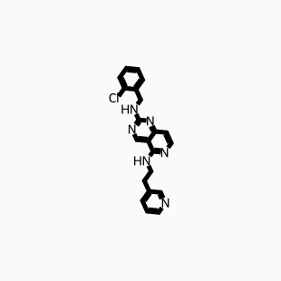 Clc1ccccc1CNc1ncc2c(NCCc3cccnc3)nccc2n1